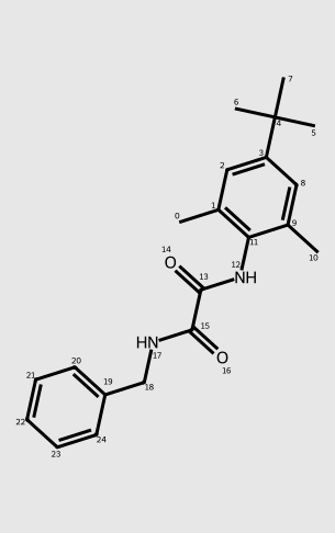 Cc1cc(C(C)(C)C)cc(C)c1NC(=O)C(=O)NCc1ccccc1